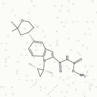 C[C@H]1C[C@]1(C)n1c(C(=O)NC(=O)ON)cc2cc([C@H]3CCOC(C)(C)C3)ccc21